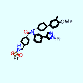 CCS(=O)(=O)NC[C@H]1CC[C@H](C(=O)N(C[C@H]2CC[C@H](c3ccc(OC)c(C)c3)CC2)c2cccc(-c3cnn(C(C)C)c3)c2)CC1